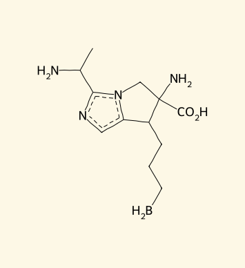 BCCCC1c2cnc(C(C)N)n2CC1(N)C(=O)O